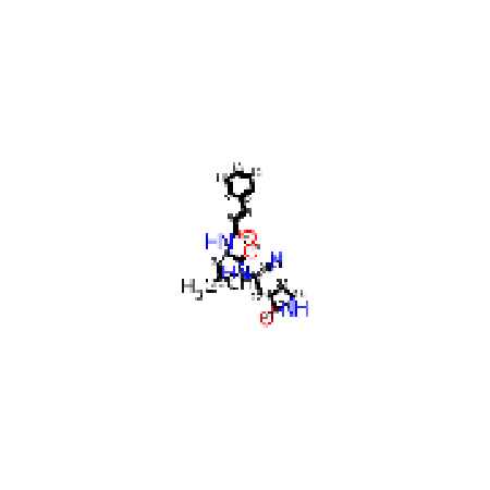 CC(C)C[C@H](NC(=O)/C=C/c1ccccc1)C(=O)N[C@H](C#N)C[C@@H]1CCNC1=O